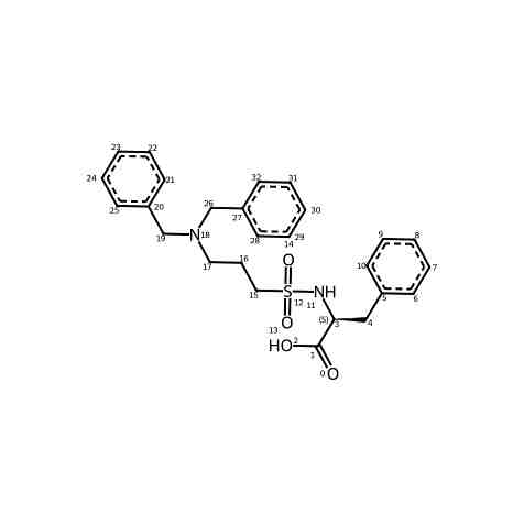 O=C(O)[C@H](Cc1ccccc1)NS(=O)(=O)CCCN(Cc1ccccc1)Cc1ccccc1